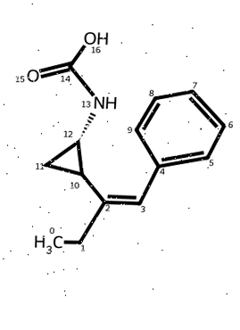 CCC(=Cc1ccccc1)C1C[C@@H]1NC(=O)O